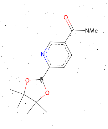 CNC(=O)c1ccc(B2OC(C)(C)C(C)(C)O2)nc1